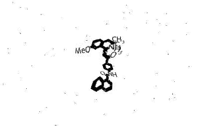 COc1ccc2c(c1)/C(=C/C(=O)c1ccc(NC(=O)c3cccc4ccccc34)cc1)NC(C)(C)C2